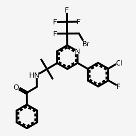 CC(C)(NCC(=O)c1ccccc1)c1cc(-c2ccc(F)c(Cl)c2)nc(C(F)(CBr)C(F)(F)F)c1